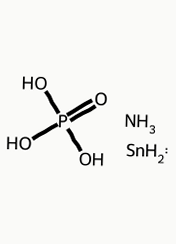 N.O=P(O)(O)O.[SnH2]